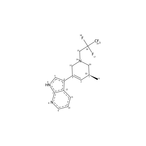 C[C@H]1C=C(c2c[nH]c3ncccc23)CN(CC(F)(F)C(F)(F)F)C1